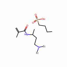 C=C(C)C(=O)NC(C)CCN(CC)CC.CCCCS(=O)(=O)O